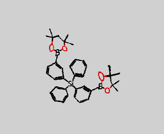 CC1(C)CC(C)(C)OB(c2cccc([Si](c3ccccc3)(c3ccccc3)c3cccc(B4OC(C)(C)C(C)(C)O4)c3)c2)O1